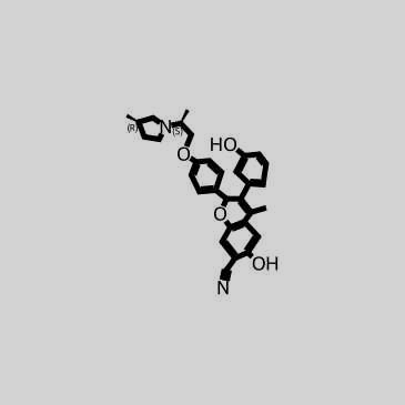 CC1=C(c2cccc(O)c2)C(c2ccc(OC[C@H](C)N3CC[C@@H](C)C3)cc2)Oc2cc(C#N)c(O)cc21